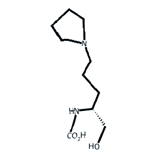 O=C(O)N[C@@H](CO)CCCN1CCCC1